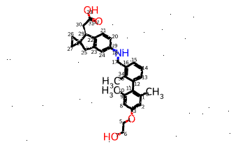 Cc1cc(OCCO)cc(C)c1-c1cccc(CNc2ccc3c(c2)CC2(CC2)[C@H]3CC(=O)O)c1C